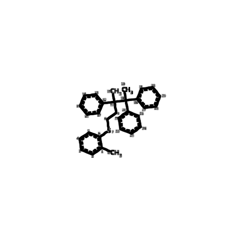 Cc1ccccc1SCCC(C)(c1ccccc1)C(C)(c1ccccc1)c1ccccc1